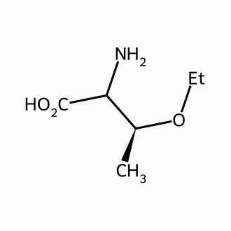 CCO[C@@H](C)C(N)C(=O)O